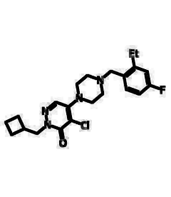 CCc1cc(F)ccc1CN1CCN(c2cnn(CC3CCC3)c(=O)c2Cl)CC1